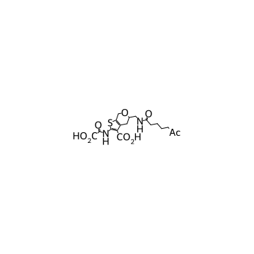 CC(=O)CCCCC(=O)NCC1Cc2c(sc(NC(=O)C(=O)O)c2C(=O)O)CO1